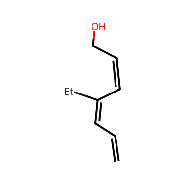 C=C/C=C(\C=C/CO)CC